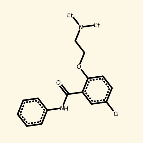 CCN(CC)CCOc1ccc(Cl)cc1C(=O)Nc1ccccc1